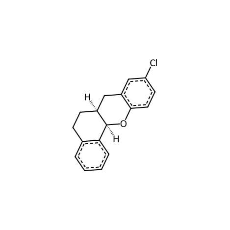 Clc1ccc2c(c1)C[C@@H]1CCc3ccccc3[C@@H]1O2